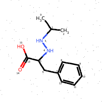 CC(C)NNC(Cc1ccccc1)C(=O)O